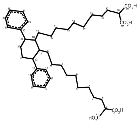 O=C(O)C(CCCCCCCCCC1C(c2ccccc2)CCC(c2ccccc2)C1CCCCCCCCCC(C(=O)O)C(=O)O)C(=O)O